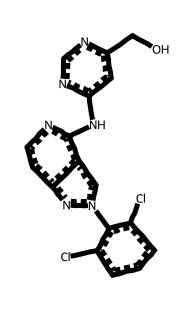 OCc1cc(Nc2nccc3nn(-c4c(Cl)cccc4Cl)cc23)ncn1